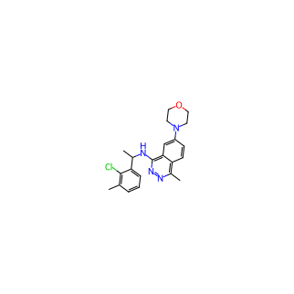 Cc1cccc(C(C)Nc2nnc(C)c3ccc(N4CCOCC4)cc23)c1Cl